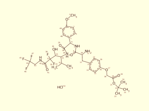 COc1ccc(C(NC(=O)C(N)Cc2ccc(OCC(=O)OC(C)(C)C)cc2)C(=O)NC(C(C)C)C(O)C(F)(F)C(=O)NCC(F)(F)F)cc1.Cl